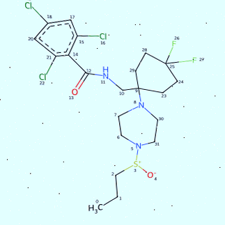 CCC[S+]([O-])N1CCN(C2(CNC(=O)c3c(Cl)cc(Cl)cc3Cl)CCC(F)(F)CC2)CC1